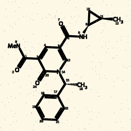 CNC(=O)c1cc(C(=O)N[C@@H]2C[C@H]2C)cn([C@H](C)c2ccccc2)c1=O